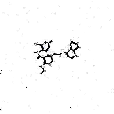 C=C/C=C\C(=C(/N)Cl)N(C)C(=O)c1cc(CCOc2ccnc3ccccc23)cnc1NCC